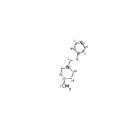 CC1CCN(CCc2ccncc2)CC1